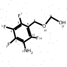 Nc1c(F)c(F)c(F)c(COCO)c1F